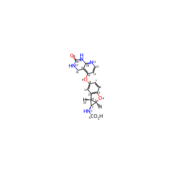 O=C(O)N[C@@H]1[C@H]2Oc3ccc(Oc4ccnc5c4CNC(=O)N5)cc3[C@@H]12